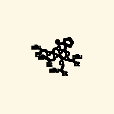 CCCCC(CC)COC(COC(=O)c1ccccc1C(=O)OCC(OCC(CC)CCCC)OCC(CC)CCCC)OCC(CC)CCCC